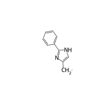 [CH2]c1c[nH]c(-c2ccccc2)n1